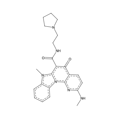 CNc1ccc2c(=O)c(C(=O)NCCN3CCCC3)c3n(C)c4ccccc4n3c2n1